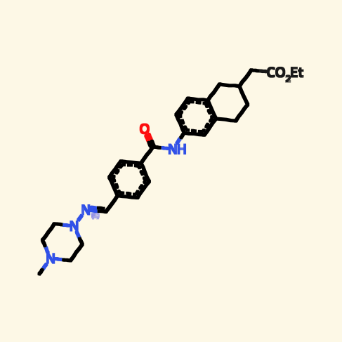 CCOC(=O)CC1CCc2cc(NC(=O)c3ccc(/C=N/N4CCN(C)CC4)cc3)ccc2C1